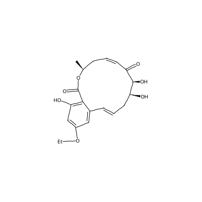 CCOc1cc(O)c2c(c1)/C=C/C[C@H](O)[C@H](O)C(=O)/C=C\C[C@H](C)OC2=O